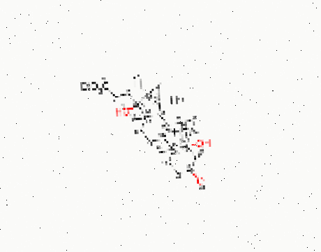 CCOC(=O)CC[C@]1(O)[C@H]2C[C@H]2C2C3C(CC[C@@]21C)[C@@]1(C)CCC(=O)C[C@@]1(O)[C@@H]1C[C@H]31